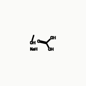 CO.O=C(O)O.[NaH]